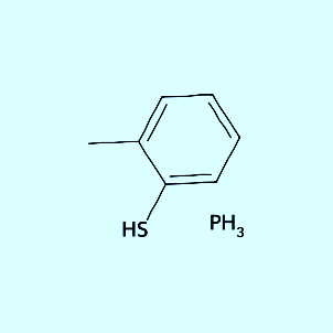 Cc1ccccc1S.P